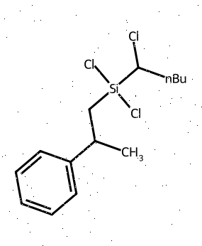 CCCCC(Cl)[Si](Cl)(Cl)CC(C)c1ccccc1